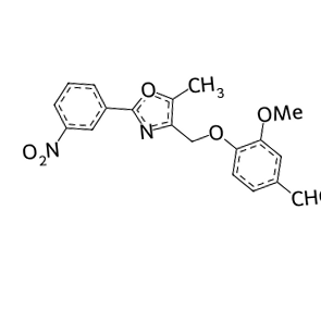 COc1cc(C=O)ccc1OCc1nc(-c2cccc([N+](=O)[O-])c2)oc1C